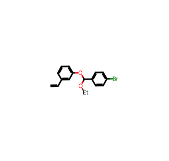 C=Cc1cccc(OC(OCC)c2ccc(Br)cc2)c1